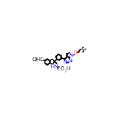 C[Si](C)(C)CCOCn1ccc2c(-c3cccc(C4(CNC(=O)O)Cc5ccc(C=O)cc5C4)c3)ncnc21